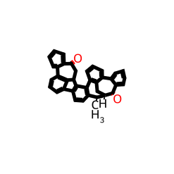 C[C@@H]1c2ccc3c(c2-c2cccc4c2C[C@H]1C(=O)c1ccccc1-4)C1CC(=O)c2ccccc2-c2cccc-3c21